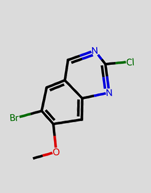 COc1cc2nc(Cl)ncc2cc1Br